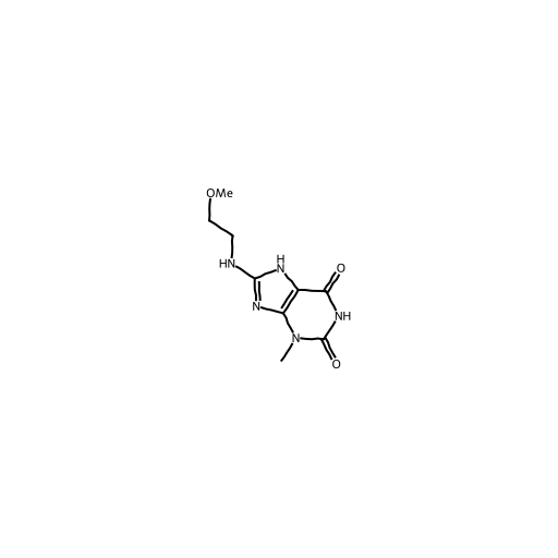 COCCNc1nc2c([nH]1)c(=O)[nH]c(=O)n2C